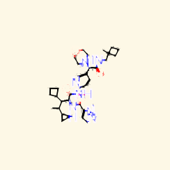 CC(C1CC1)C(C1CCC1)[C@H](NC(=O)c1ccnn1C)C(=O)Nc1ccc(C(C(=O)NCC2(C)CCC2)N2CCOCC2)cn1